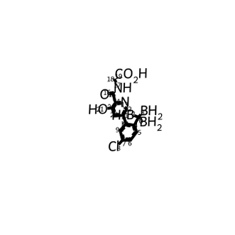 BC(B)(B)c1ccc(Cl)cc1-c1cnc(C(=O)NCC(=O)O)c(O)c1